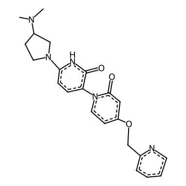 CN(C)C1CCN(c2ccc(-n3ccc(OCc4ccccn4)cc3=O)c(=O)[nH]2)C1